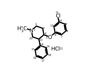 CN1CCC(Oc2cccc(Cl)c2)C(c2ccccc2)C1.Cl